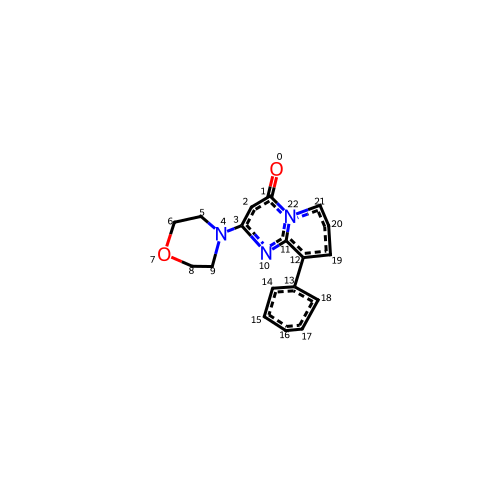 O=c1cc(N2CCOCC2)nc2c(-c3ccccc3)cccn12